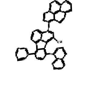 N#Cc1cc(-c2ccc3ccc4cccc5ccc2c3c45)c2cccc3c2c1-c1c(-c2cccc4ccccc24)ccc(-c2ccccc2)c1-3